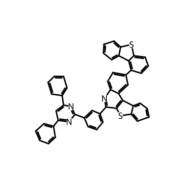 c1ccc(-c2cc(-c3ccccc3)nc(-c3cccc(-c4nc5ccc(-c6cccc7sc8ccccc8c67)cc5c5c4sc4ccccc45)c3)n2)cc1